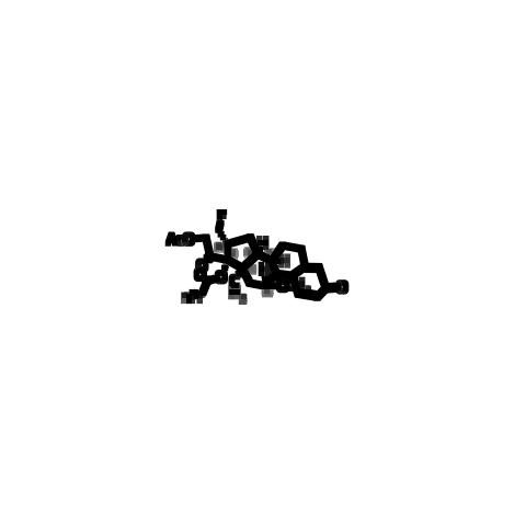 CCCC(=O)O[C@]1(C(=O)COC(C)=O)[C@H](CF)C[C@H]2[C@@H]3CCC4=CC(=O)C=C[C@]4(C)[C@@]34O[C@H]4C[C@@]21C